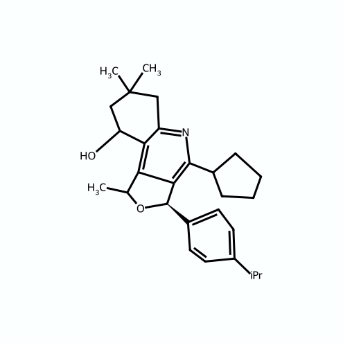 CC(C)c1ccc([C@H]2OC(C)c3c4c(nc(C5CCCC5)c32)CC(C)(C)CC4O)cc1